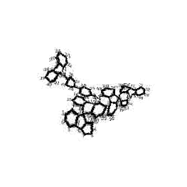 c1ccc2c(c1)-c1ccccc1C21c2ccccc2-c2c(N(c3ccc(-c4ccc(-n5c6ccccc6c6ccccc65)cc4)cc3)c3cccc4c3-c3ccccc3C43c4ccccc4-n4c5ccccc5c5cccc3c54)cccc21